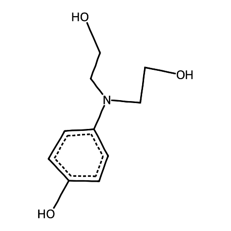 OCCN(CCO)c1ccc(O)cc1